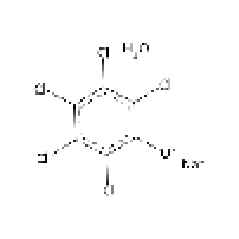 O.[Na+].[O-]c1c(Cl)c(Cl)c(Cl)c(Cl)c1Cl